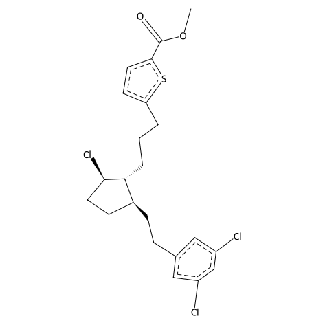 COC(=O)c1ccc(CCC[C@@H]2[C@@H](CCc3cc(Cl)cc(Cl)c3)CC[C@H]2Cl)s1